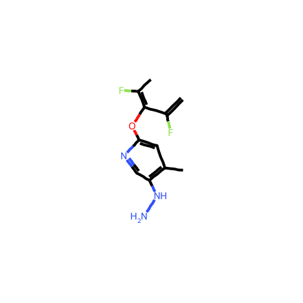 C=C(F)/C(Oc1cc(C)c(NN)cn1)=C(\C)F